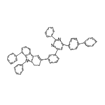 C1=C(c2cccc(-c3cc(-c4ccc(-c5ccccc5)cc4)nc(-c4ccccc4)n3)c2)CCc2c1c1cccc(-c3ccccc3)c1n2-c1ccccc1